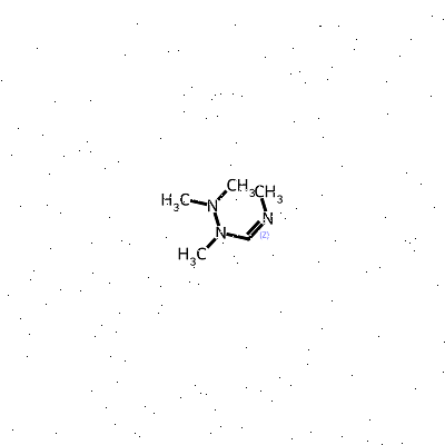 C/N=C\N(C)N(C)C